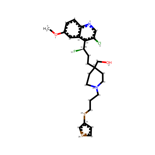 COc1ccc2ncc(Cl)c([C@H](F)CCC3(CO)CCN(CCCSc4ccsc4)CC3)c2c1